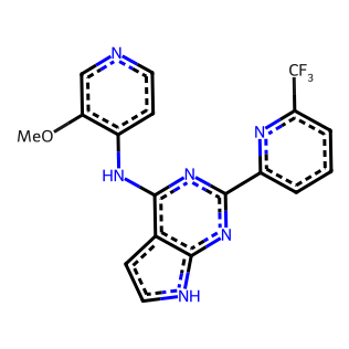 COc1cnccc1Nc1nc(-c2cccc(C(F)(F)F)n2)nc2[nH]ccc12